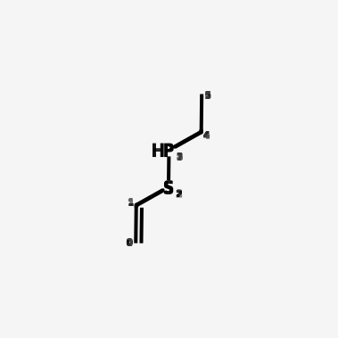 C=CSPCC